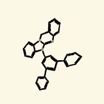 c1ccc(-c2cc(-c3ccccc3)cc(N3C4=Nc5ccccc5CN4c4ccccc43)c2)cc1